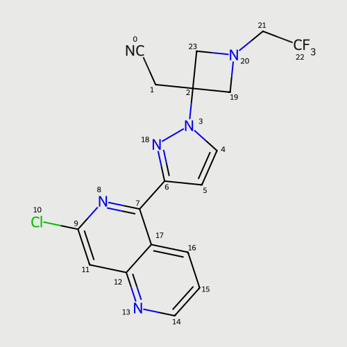 N#CCC1(n2ccc(-c3nc(Cl)cc4ncccc34)n2)CN(CC(F)(F)F)C1